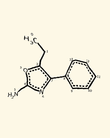 CCc1oc(N)nc1-c1ccccc1